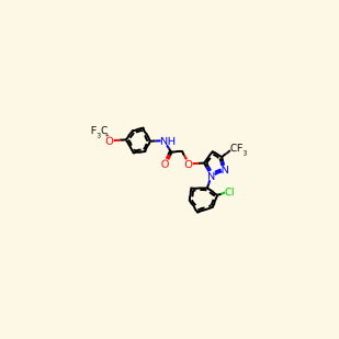 O=C(COc1cc(C(F)(F)F)nn1-c1ccccc1Cl)Nc1ccc(OC(F)(F)F)cc1